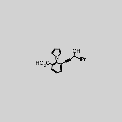 CC(C)C(O)C#Cc1cccc(C(=O)O)c1-n1cccc1